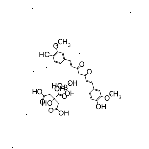 COc1cc(C=CC(=O)CC(=O)C=Cc2ccc(O)c(OC)c2)ccc1O.O=C(O)CC(O)(CC(=O)O)C(=O)O.OB(O)O